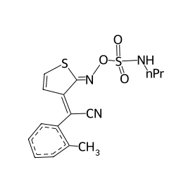 CCCNS(=O)(=O)O/N=C1\SC=C\C1=C(\C#N)c1ccccc1C